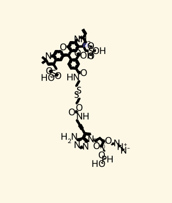 C=CC(C)/C=C(/CS(=O)(=O)O)c1cc2c(cc1N)Oc1cc3c(cc1=C2c1ccc(C(=O)NCCSSCCOC(=O)NCC#Cc2cn([C@H]4C[C@@H](OCN=[N+]=[N-])[C@@H](COPO)O4)c4ncnc(N)c24)cc1C(=O)O)C(CS(=O)(=O)O)=CC(C)(C)N=3